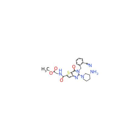 COC(=O)CNC(=O)c1cc2nc(N3CCC[C@@H](N)C3)n(Cc3ccccc3C#N)c(=O)c2s1